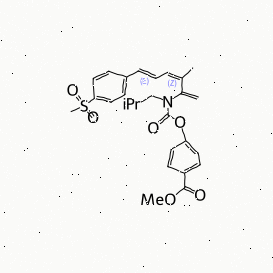 C=C(/C(C)=C\C=C\c1ccc(S(C)(=O)=O)cc1)N(CC(C)C)C(=O)Oc1ccc(C(=O)OC)cc1